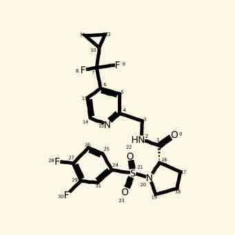 O=C(NCc1cc(C(F)(F)C2CC2)ccn1)[C@@H]1CCCN1S(=O)(=O)c1ccc(F)c(F)c1